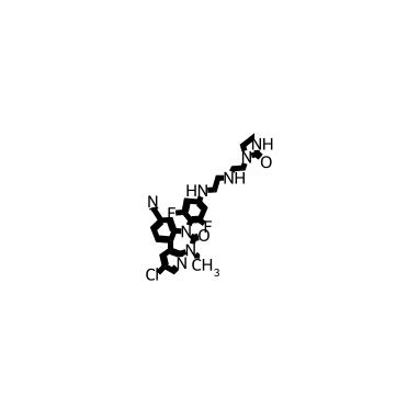 CCN1C(=O)N(c2c(F)cc(NCCNCCN3CCNC3=O)cc2F)c2cc(C#N)ccc2-c2cc(Cl)cnc21